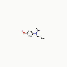 CCCCN(c1ccc(OC)cc1)C(C)C